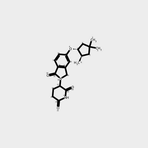 C[C@@H]1CC(C)(C)C[C@H]1Oc1ccc2c(c1)CN(C1CCC(=O)NC1=O)C2=O